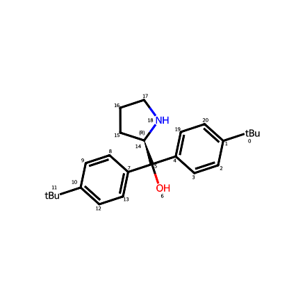 CC(C)(C)c1ccc(C(O)(c2ccc(C(C)(C)C)cc2)[C@H]2CCCN2)cc1